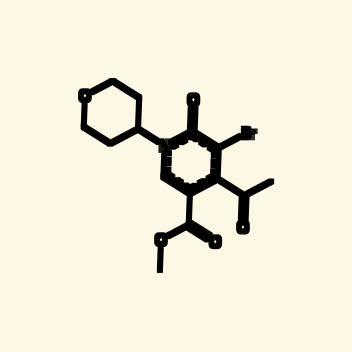 COC(=O)c1cn(C2CCOCC2)c(=O)c(Br)c1C(C)=O